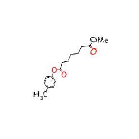 COC(=O)CCCCCC(=O)Oc1ccc(C)cc1